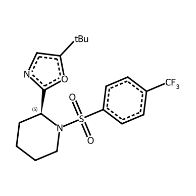 CC(C)(C)c1cnc([C@@H]2CCCCN2S(=O)(=O)c2ccc(C(F)(F)F)cc2)o1